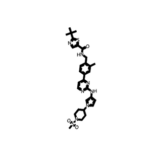 Cc1cc(-c2ccnc(Nc3ccn(C4CCN(S(C)(=O)=O)CC4)c3)n2)ccc1CNC(=O)c1cnc(C(C)(C)C)s1